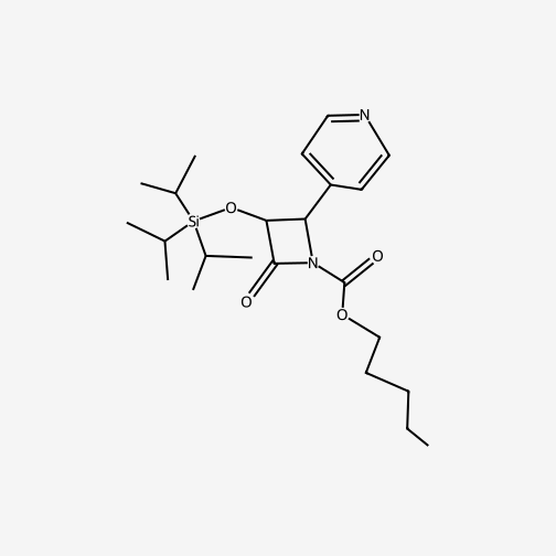 CCCCCOC(=O)N1C(=O)C(O[Si](C(C)C)(C(C)C)C(C)C)C1c1ccncc1